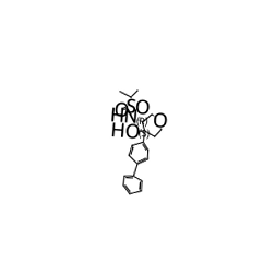 CC(C)S(=O)(=O)N[C@@H]1COCC[C@]1(O)c1ccc(-c2ccccc2)cc1